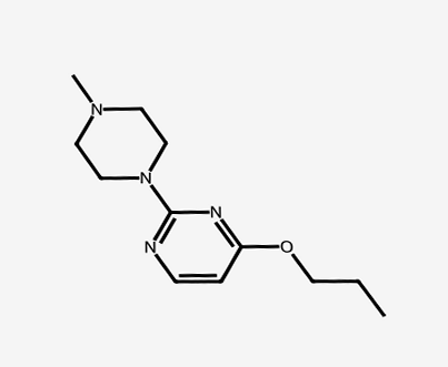 CCCOc1ccnc(N2CCN(C)CC2)n1